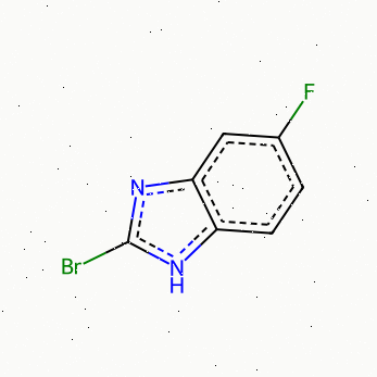 Fc1ccc2[nH]c(Br)nc2c1